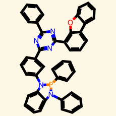 c1ccc(-c2nc(-c3cccc(N4c5ccccc5N(c5ccccc5)P4c4ccccc4)c3)nc(-c3cccc4c3oc3ccccc34)n2)cc1